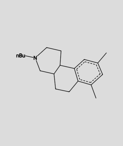 CCCCN1CCC2c3cc(C)cc(C)c3CCC2C1